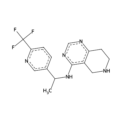 CC(Nc1ncnc2c1CNCC2)c1ccc(C(F)(F)F)nc1